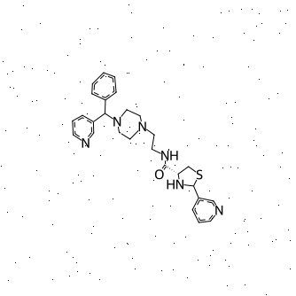 O=C(NCCN1CCN(C(c2ccccc2)c2cccnc2)CC1)[C@@H]1CSC(c2cccnc2)N1